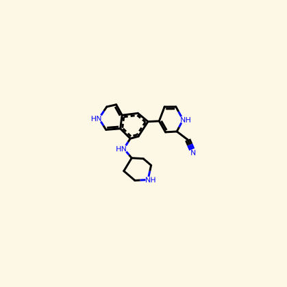 N#CC1C=C(c2cc(NC3CCNCC3)c3c(c2)=CCNC=3)C=CN1